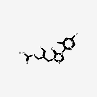 Cc1cc(Br)cnc1-n1cnn(CC(=CF)COC(N)=O)c1=O